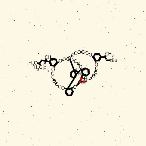 C=C(C)CC(C)(C)c1ccc2c(c1)OCCOCCOc1c3cccc1C1=C4OCCOCCOc5ccc(C(=C)CC(C)(C)C)cc5OCCOCCO[C@@H]5C(CCC[C@@H]5c5cccc(c5OCCOCCO2)C[C@H]4CCC1)C3